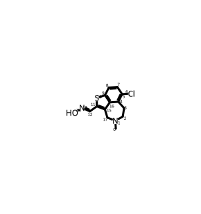 CN1CCc2c(Cl)ccc3sc(/C=N/O)c(c23)C1